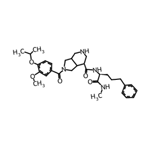 CNC(=O)[C@H](CCCc1ccccc1)NC(=O)C1CNCC2CN(C(=O)c3ccc(OC(C)C)c(OC)c3)CC21